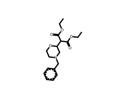 CCOC(=O)C(C(=O)OCC)C1CN(Cc2ccccc2)CCO1